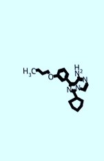 CCCCOc1cccc(-c2nc(C3CCCCC3)n3ccnc(N)c23)c1